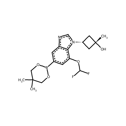 CC1(C)COB(c2cc(OC(F)F)c3c(c2)ncn3[C@H]2C[C@@](C)(O)C2)OC1